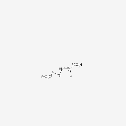 CCOC(=O)CCN[C@@H](C)C(=O)O